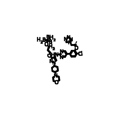 BC(B)(B)OCCCOc1nn([C@H]2CC[C@H](N3CCOCC3)CC2)cc1Nc1ncc(-c2ccc(Cl)c(O[C@@H](C)Cn3cnnn3)c2)cn1